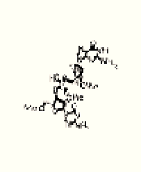 COC[C@H]1O[C@@H](n2cnc(N)nc2=O)[C@@H](OC)C1OP(=O)(O)OC[C@H]1O[C@@H](n2cnc3c(=O)[nH]c(N)nc32)C[C@H]1OC